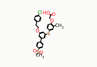 Cc1cc(Sc2cc(OCCc3ccc(Cl)cc3)cc(-c3ccc(S(C)(=O)=O)cc3)c2)ccc1OCC(=O)O